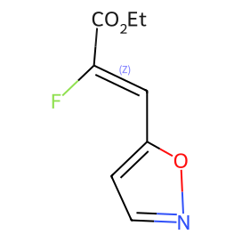 CCOC(=O)/C(F)=C/c1ccno1